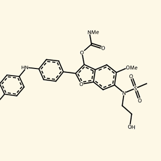 CNC(=O)Oc1c(-c2ccc(Nc3ccc(C)cc3)cc2)oc2cc(N(CCO)S(C)(=O)=O)c(OC)cc12